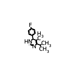 CC1=C(C(C)C)N=[C]NC1c1ccc(F)cc1